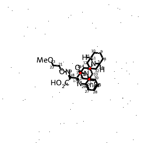 CCC[C@@H]1CCC[C@@H](N2[C@@H]3CCC[C@H]2C[C@@H](n2c(=O)c(/C(=N/OCCOC)C(=O)O)nc4ccccc42)C3)C1